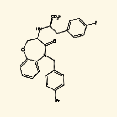 CC(C)c1ccc(CN2C(=O)C(N[C@H](Cc3ccc(F)cc3)C(=O)O)COc3ccccc32)cc1